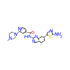 CN1CCN(c2cc(C(=O)Nc3ncc4ccc(-c5cnc(N)s5)cc4n3)ccn2)CC1